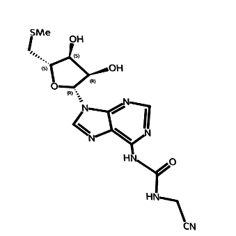 CSC[C@H]1O[C@@H](n2cnc3c(NC(=O)NCC#N)ncnc32)[C@H](O)[C@@H]1O